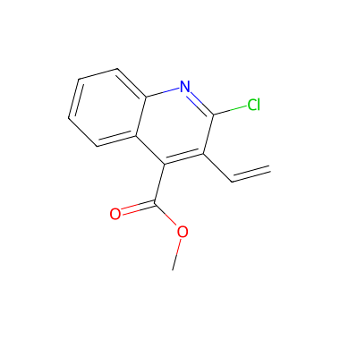 C=Cc1c(Cl)nc2ccccc2c1C(=O)OC